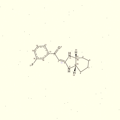 O=C(/C=C1/N[C@H]2CCCC[C@H]2N1)c1cccc(F)c1